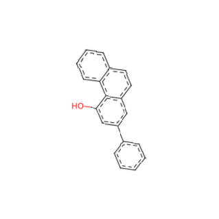 Oc1cc(-c2ccccc2)cc2ccc3ccccc3c12